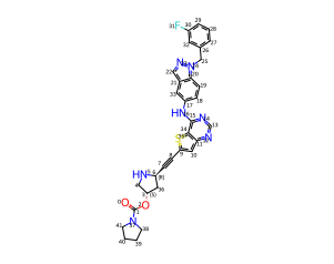 O=C(O[C@@H]1CN[C@@H](C#Cc2cc3ncnc(Nc4ccc5c(cnn5Cc5cccc(F)c5)c4)c3s2)C1)N1CCCC1